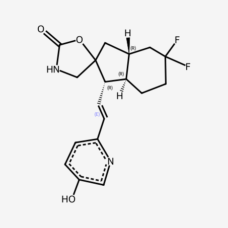 O=C1NCC2(C[C@@H]3CC(F)(F)CC[C@H]3[C@@H]2/C=C/c2ccc(O)cn2)O1